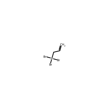 C=C[CH2][Sn]([Br])([Br])[Br]